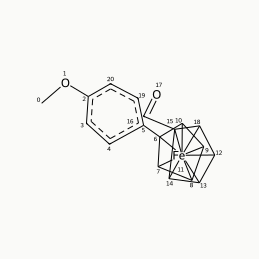 COc1ccc([C]23[CH]4[CH]5[CH]6[CH]2[Fe]56432789[CH]3[CH]2[CH]7[C]8(C=O)[CH]39)cc1